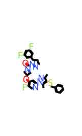 Cc1nn(-c2cc(OC3CN(C(=O)N4N=CCC4c4cc(F)cc(F)c4)C3)c(F)cn2)c(C)c1SCc1ccccc1